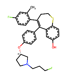 Cc1cc(F)ccc1C1=C(c2ccc(O[C@H]3CCN(CCCF)C3)cc2)c2cc(O)ccc2SCC1